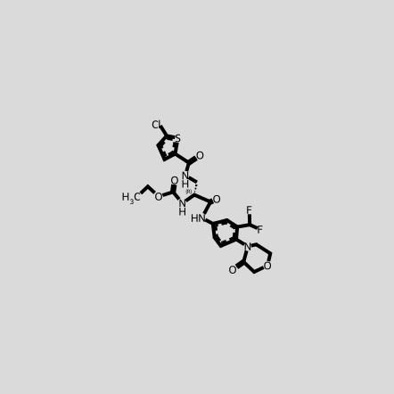 CCOC(=O)N[C@H](CNC(=O)c1ccc(Cl)s1)C(=O)Nc1ccc(N2CCOCC2=O)c(C(F)F)c1